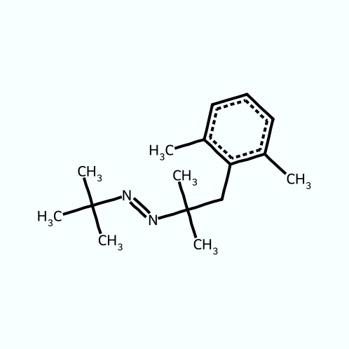 Cc1cccc(C)c1CC(C)(C)N=NC(C)(C)C